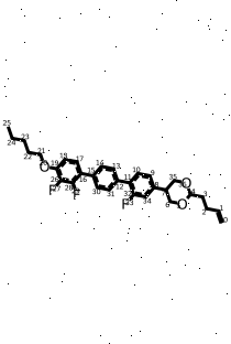 C=CCCC1OCC(c2ccc(-c3ccc(-c4ccc(OCCCCC)c(F)c4F)cc3)c(F)c2)CO1